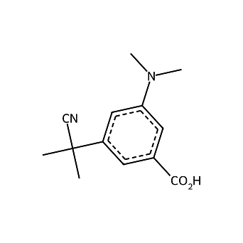 CN(C)c1cc(C(=O)O)cc(C(C)(C)C#N)c1